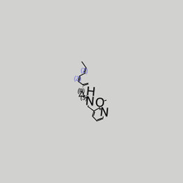 C=C(/C=C\C=C/C)[C@H]1C[C@@H]1NCc1cccnc1OC